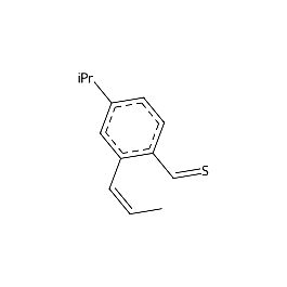 C/C=C\c1cc(C(C)C)ccc1C=S